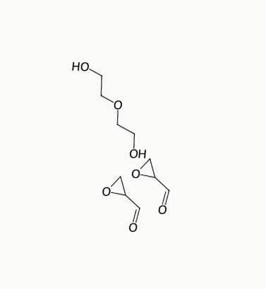 O=CC1CO1.O=CC1CO1.OCCOCCO